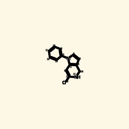 ClC1=Cc2c(ccn2-c2ccccc2)CN1